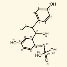 CCC(c1ccc(O)cc1)C(O)C1C=C(O)C=CC1=NP(=O)(O)O